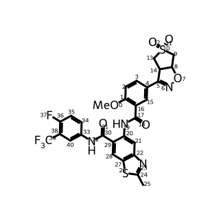 COc1ccc(C2=NOC3CS(=O)(=O)CC23)cc1C(=O)Nc1cc2nc(C)sc2cc1C(=O)Nc1ccc(F)c(C(F)(F)F)c1